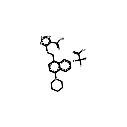 O=C(O)C(F)(F)F.O=C(O)c1[nH]nnc1SCc1ccc(N2CCCCC2)c2ccccc12